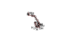 COc1cc(/C=C/c2ccc3cc(OCCOCCOCCOCC(=O)NC(C(=O)N4C[C@H](O)C[C@H]4C(=O)NC(C)c4ccc(-c5scnc5C)cc4)C(C)(C)C)ccc3n2)ccn1